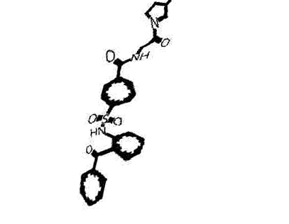 O=C(NCC(=O)N1CCC(O)C1)c1ccc(S(=O)(=O)Nc2ccccc2C(=O)c2ccccc2)cc1